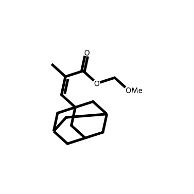 COCOC(=O)C(C)=CC12CC3CC(CC(C3)C1)C2